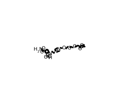 CC(C)(C)OC(=O)CCOCCOCCOCCN1CCN(CCNc2ccc(S(N)(=O)=O)cc2[N+](=O)[O-])CC1